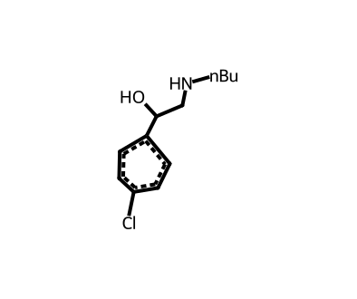 CCCCNCC(O)c1ccc(Cl)cc1